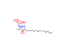 CCCCCCCCCCCCCCCC(=O)C(CC)NCC(O)CO